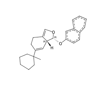 CC1(C2=C[C@@H]3C(=CO[C@@H]3Oc3ccc4ccccc4c3)CC2)CCCCC1